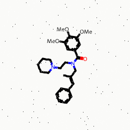 COc1cc(C(=O)N(CCN2CCCCC2)C/C(C)=C/c2ccccc2)cc(OC)c1OC